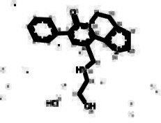 Cl.O=c1c(-c2ccccc2)cc(CNCCO)c2n1CCc1ccsc1-2